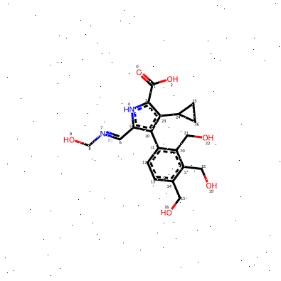 O=C(O)c1[nH]c(/C=N/CO)c(-c2ccc(CO)c(CO)c2CO)c1C1CC1